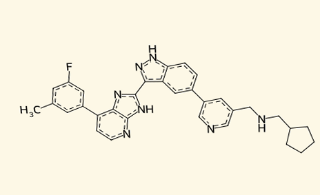 Cc1cc(F)cc(-c2ccnc3[nH]c(-c4n[nH]c5ccc(-c6cncc(CNCC7CCCC7)c6)cc45)nc23)c1